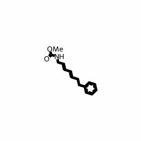 COC(=O)NCC=CC=CCCc1ccccc1